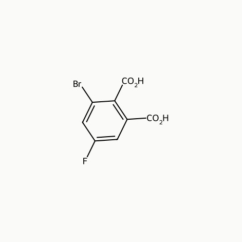 O=C(O)c1cc(F)cc(Br)c1C(=O)O